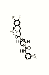 CSc1cccc(NC(=O)N2C[C@H]3C[C@@H]2CN3C(=O)C[C@H](N)Cc2cc(F)c(F)cc2F)c1